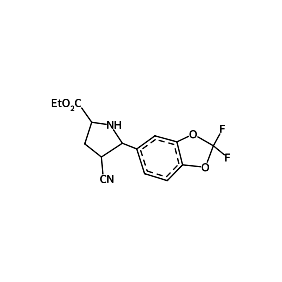 CCOC(=O)C1CC(C#N)C(c2ccc3c(c2)OC(F)(F)O3)N1